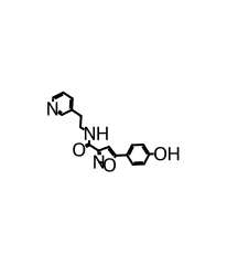 O=C(NCCc1cccnc1)c1cc(-c2ccc(O)cc2)on1